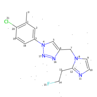 Cc1cc(-n2cc(Cn3ccnc3CCF)nn2)ccc1Cl